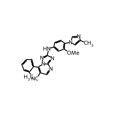 COc1cc(Nc2nc3ncc(C#N)c(-c4ccccc4C)n3n2)ccc1-n1cnc(C)c1